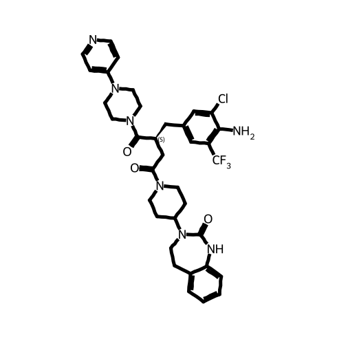 Nc1c(Cl)cc(C[C@@H](CC(=O)N2CCC(N3CCc4ccccc4NC3=O)CC2)C(=O)N2CCN(c3ccncc3)CC2)cc1C(F)(F)F